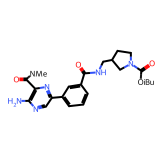 CNC(=O)c1nc(-c2cccc(C(=O)NCC3CCN(C(=O)OCC(C)C)C3)c2)cnc1N